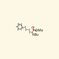 CCCCC(CCCCc1ccccc1)C(=O)OC